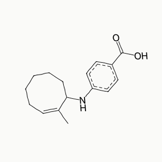 CC1=CCCCCCC1Nc1ccc(C(=O)O)cc1